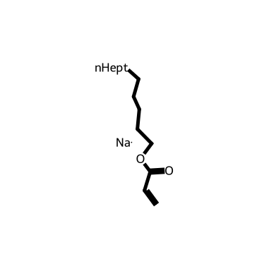 C=CC(=O)OCCCCCCCCCCCC.[Na]